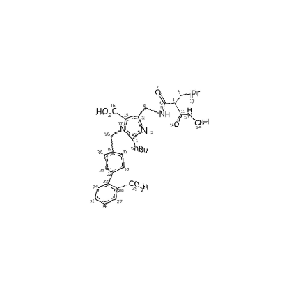 CCCCc1nc(CNC(=O)C(CC(C)C)C(=O)NO)c(C(=O)O)n1Cc1ccc(-c2ccccc2C(=O)O)cc1